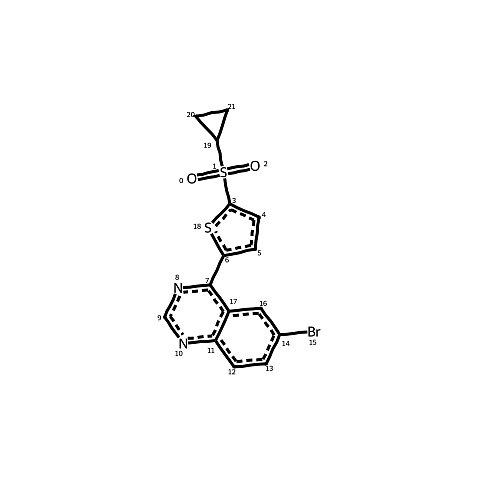 O=S(=O)(c1ccc(-c2ncnc3ccc(Br)cc23)s1)C1CC1